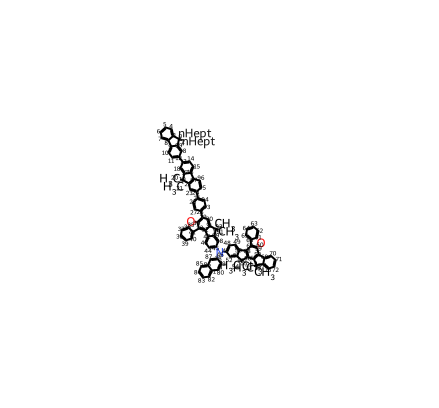 CCCCCCCC1(CCCCCCC)c2ccccc2-c2ccc(-c3ccc4c(c3)C(C)(C)c3cc(-c5ccc(-c6cc7c(c8c6oc6ccccc68)-c6ccc(N(c8ccc9c(c8)C(C)(C)c8c%10c(c%11oc%12ccccc%12c%11c8-9)-c8ccccc8C%10(C)C)c8ccc9ccccc9c8)cc6C7(C)C)cc5)ccc3-4)cc21